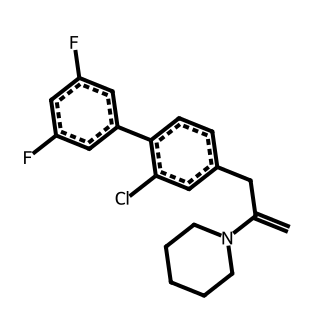 C=C(Cc1ccc(-c2cc(F)cc(F)c2)c(Cl)c1)N1CCCCC1